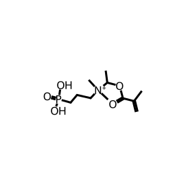 C=C(C)C(=O)OC(C)[N+](C)(C)CCCP(=O)(O)O